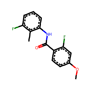 COc1ccc(C(=O)Nc2cccc(F)c2C)c(F)c1